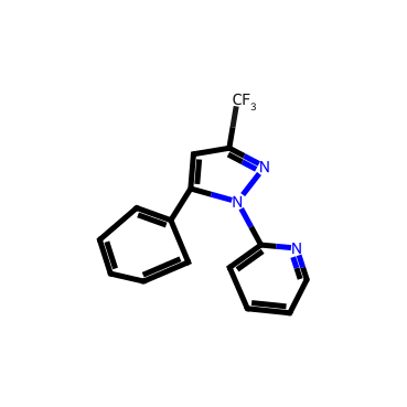 FC(F)(F)c1cc(-c2ccccc2)n(-c2ccccn2)n1